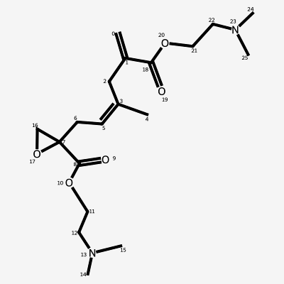 C=C(CC(C)=CCC1(C(=O)OCCN(C)C)CO1)C(=O)OCCN(C)C